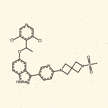 CC(Oc1ccc2[nH]nc(-c3ccc(N4CC5(C4)CN(S(C)(=O)=O)C5)nc3)c2c1)c1c(Cl)cncc1Cl